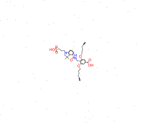 C#CCCCCOc1cc(C(=O)O)cc(OCCCCC#C)c1CNC(=O)c1cccc2c1C(C)(C)CN2CCCS(=O)(=O)O